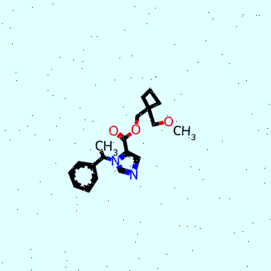 COCC1(COC(=O)c2cncn2C(C)c2ccccc2)CCC1